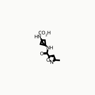 Cc1cc(C(=O)NC23CC(NC(=O)O)(C2)C3)on1